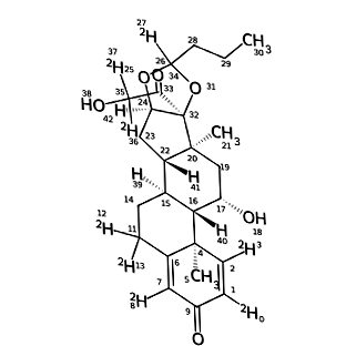 [2H]C1=C([2H])[C@@]2(C)C(=C([2H])C1=O)C([2H])([2H])C[C@@H]1[C@@H]2[C@@H](O)C[C@@]2(C)[C@H]1C[C@H]1OC([2H])(CCC)O[C@]12C(=O)C([2H])([2H])O